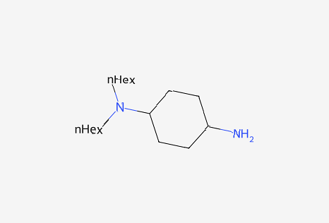 CCCCCCN(CCCCCC)C1CCC(N)CC1